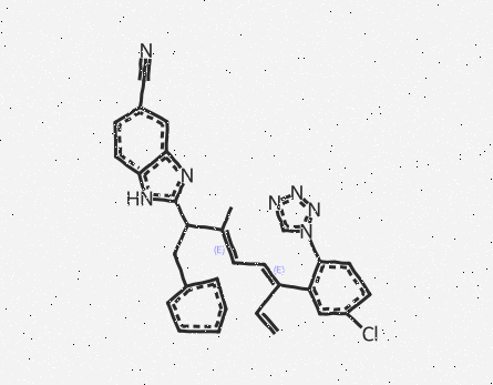 C=C/C(=C\C=C(/C)C(Cc1ccccc1)c1nc2cc(C#N)ccc2[nH]1)c1cc(Cl)ccc1-n1cnnn1